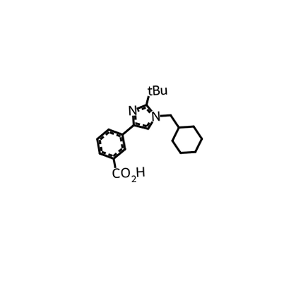 CC(C)(C)c1nc(-c2cccc(C(=O)O)c2)cn1CC1CCCCC1